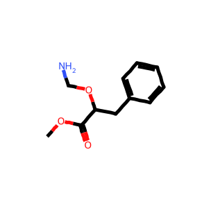 COC(=O)C(Cc1ccccc1)OCN